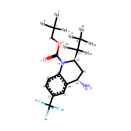 [2H]C([2H])([2H])COC(=O)N1c2ccc(C(F)(F)F)cc2[C@@H](N)C[C@@H]1C([2H])([2H])C([2H])([2H])[2H]